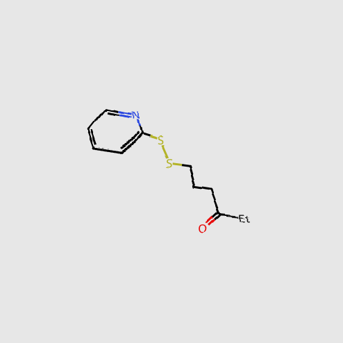 CCC(=O)CCCSSc1ccccn1